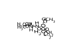 CC(=O)OCc1ccc(OC(=O)C(C)(C)C)c(C(=O)NCCNC(=O)OC(C)(C)C)c1